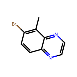 Cc1c(Br)ccc2nccnc12